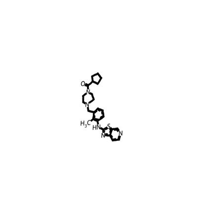 Cc1c(CN2CCN(C(=O)C3CCCC3)CC2)cccc1Nc1nc2ccncc2s1